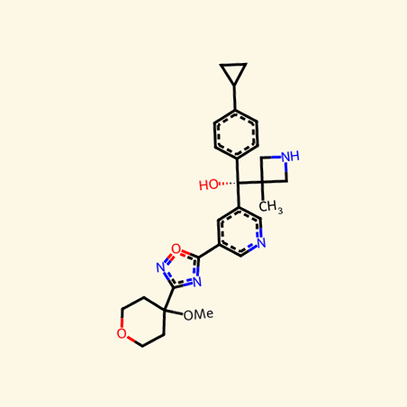 COC1(c2noc(-c3cncc([C@@](O)(c4ccc(C5CC5)cc4)C4(C)CNC4)c3)n2)CCOCC1